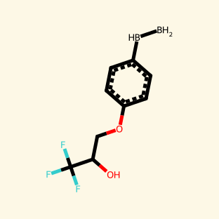 BBc1ccc(OCC(O)C(F)(F)F)cc1